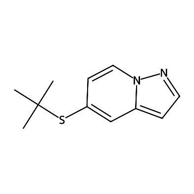 CC(C)(C)Sc1ccn2nccc2c1